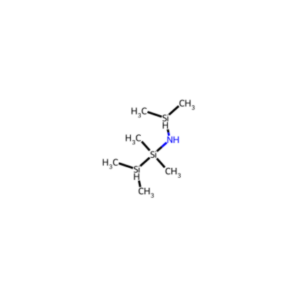 C[SiH](C)N[Si](C)(C)[SiH](C)C